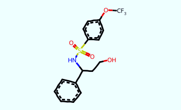 O=S(=O)(NC(CCO)c1ccccc1)c1ccc(OC(F)(F)F)cc1